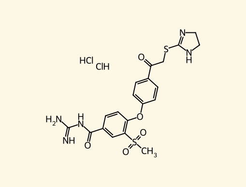 CS(=O)(=O)c1cc(C(=O)NC(=N)N)ccc1Oc1ccc(C(=O)CSC2=NCCN2)cc1.Cl.Cl